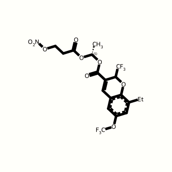 CCc1cc(OC(F)(F)F)cc2c1OC(C(F)(F)F)C(C(=O)O[C@@H](C)OC(=O)CCO[N+](=O)[O-])=C2